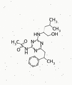 CC(C)C[C@H](CO)Nc1nc(CC(C)c2ccccc2)nc(NS(C)(=O)=O)n1